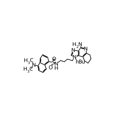 CCCC[N+]1(CCCCNS(=O)(=O)c2cccc3c(N(C)C)cccc23)C=Nc2c(N)nc3c(c21)CCCC3